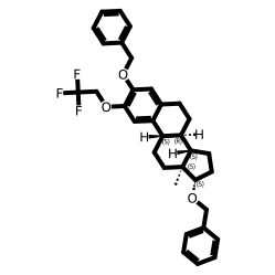 C[C@]12CC[C@@H]3c4cc(OCC(F)(F)F)c(OCc5ccccc5)cc4CC[C@H]3[C@@H]1CC[C@@H]2OCc1ccccc1